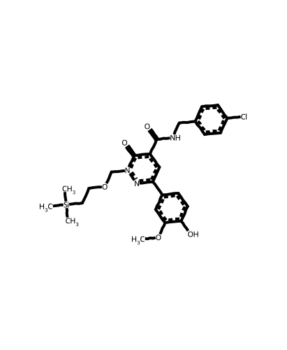 COc1cc(-c2cc(C(=O)NCc3ccc(Cl)cc3)c(=O)n(COCC[Si](C)(C)C)n2)ccc1O